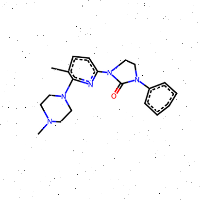 Cc1ccc(N2CCN(c3ccccc3)C2=O)nc1N1CCN(C)CC1